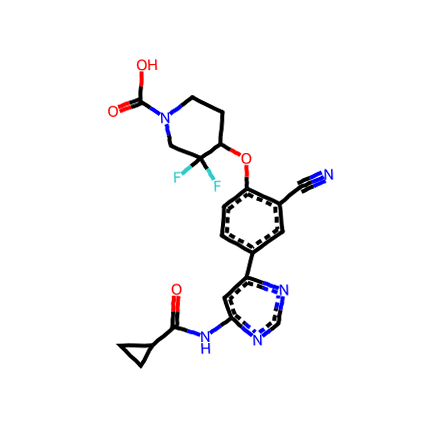 N#Cc1cc(-c2cc(NC(=O)C3CC3)ncn2)ccc1OC1CCN(C(=O)O)CC1(F)F